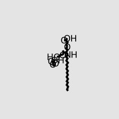 CCCCCCCCCCCCCCCCCCNC(CCOCCC(=O)O)C(C)OCCO.COS(=O)(=O)O